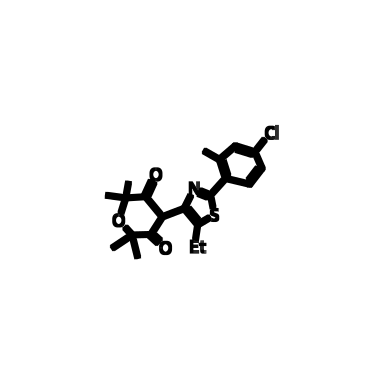 CCc1sc(-c2ccc(Cl)cc2C)nc1C1C(=O)C(C)(C)OC(C)(C)C1=O